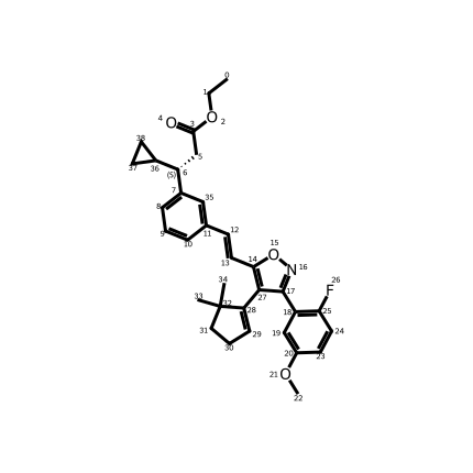 CCOC(=O)C[C@H](c1cccc(C=Cc2onc(-c3cc(OC)ccc3F)c2C2=CCCC2(C)C)c1)C1CC1